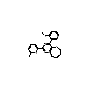 CSc1ccccc1-c1nc(-c2cccc(C)n2)nc2c1CCCCC2